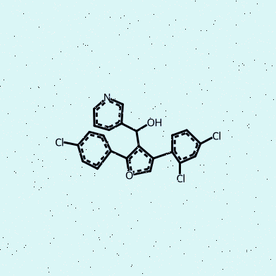 OC(c1cccnc1)c1c(-c2ccc(Cl)cc2Cl)coc1-c1ccc(Cl)cc1